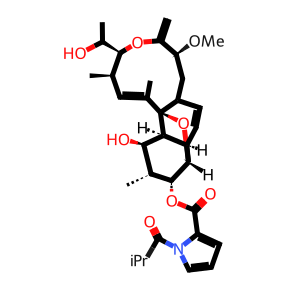 C=C1O[C@H](C(C)O)[C@H](C)/C=C(\C)[C@]23O[C@@H]4[C@H](C=CC2C[C@@H]1OC)[C@H]3[C@H](O)[C@@H](C)[C@H]4OC(=O)c1cccn1C(=O)C(C)C